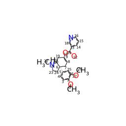 COc1ccc([C@@]23CC=C(OC(=O)c4cccnc4)C[C@@H]2N(C)CC3)cc1OC